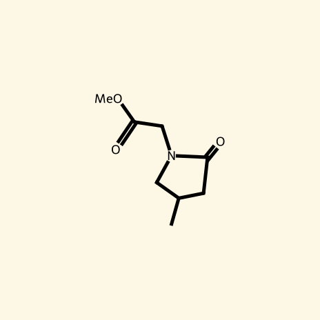 COC(=O)CN1CC(C)CC1=O